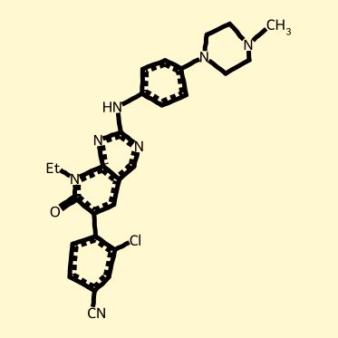 CCn1c(=O)c(-c2ccc(C#N)cc2Cl)cc2cnc(Nc3ccc(N4CCN(C)CC4)cc3)nc21